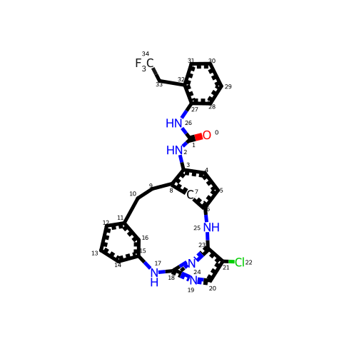 O=C(Nc1ccc2cc1CCc1cccc(c1)Nc1ncc(Cl)c(n1)N2)Nc1ccccc1CC(F)(F)F